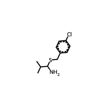 CC(C)C(N)SCc1ccc(Cl)cc1